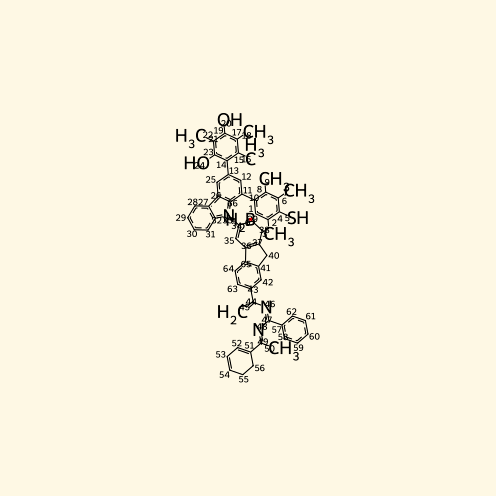 Bc1c(C)c(S)c(C)c(C)c1-c1cc(-c2c(C)c(C)c(O)c(C)c2O)cc2c3ccccc3n(C3=CC4=C(CC3)Cc3cc(C(=C)/N=C(\N=C(/C)C5=CC=CCC5)c5ccccc5)ccc34)c12